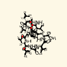 CC(C)C[C@H](NC(=O)[C@H](CC(C)C)NC(=O)[C@H](CC(C)C)NC(=O)[C@@H](N)CC(C)C)C(=O)N[C@@H](CC(C)C)C(=O)N[C@@H](CC(C)C)C(=O)N[C@H](C(=O)N[C@@H](Cc1c[nH]cn1)C(=O)O)C(C)C